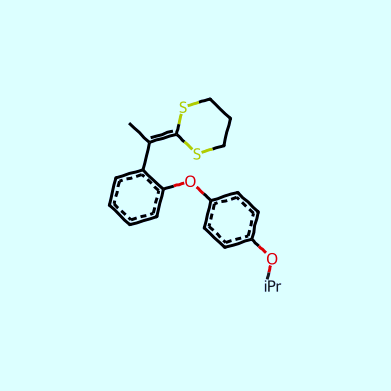 CC(=C1SCCCS1)c1ccccc1Oc1ccc(OC(C)C)cc1